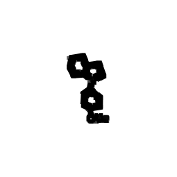 COc1ccc(-n2ccc3c[c]ccc32)cc1